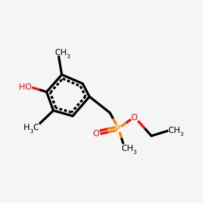 CCOP(C)(=O)Cc1cc(C)c(O)c(C)c1